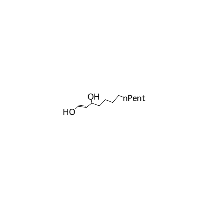 CCCCCCCCCC(O)/C=C/O